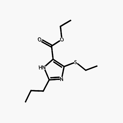 CCCc1nc(SCC)c(C(=O)OCC)[nH]1